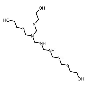 OCCSCNCNCNCN(CSCCO)CSCCO